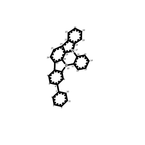 c1ccc(-c2ccc3c(c2)B2c4ccccc4-n4c5ccccc5c5ccc-3c2c54)cc1